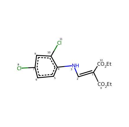 CCOC(=O)C(=CNc1ccc(Cl)cc1Cl)C(=O)OCC